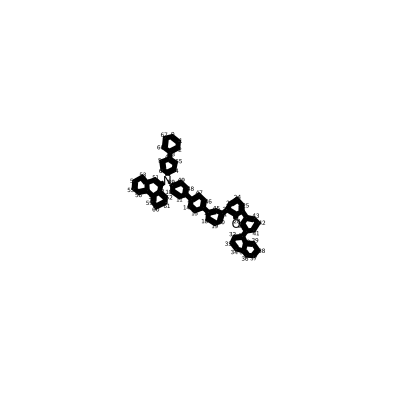 c1ccc(-c2ccc(N(c3ccc(-c4ccc(-c5cccc(-c6cccc7c6oc6c(-c8cccc9ccccc89)cccc67)c5)cc4)cc3)c3cc4ccccc4c4ccccc34)cc2)cc1